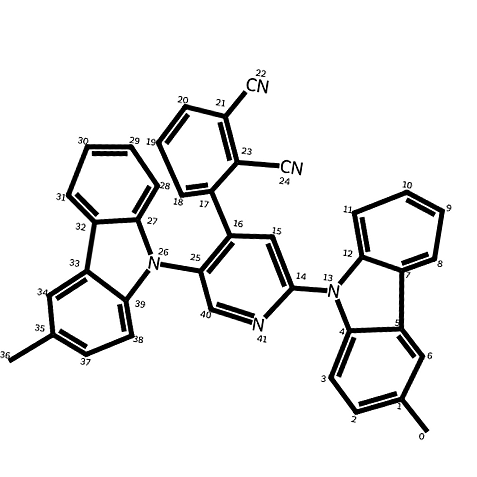 Cc1ccc2c(c1)c1ccccc1n2-c1cc(-c2cccc(C#N)c2C#N)c(-n2c3ccccc3c3cc(C)ccc32)cn1